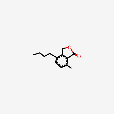 CCCCc1ccc(C)c2c1COC2=O